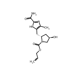 C=CCOC(=O)N1C[C@H](O)C[C@H]1Cc1[nH]c(C(N)=O)nc1C